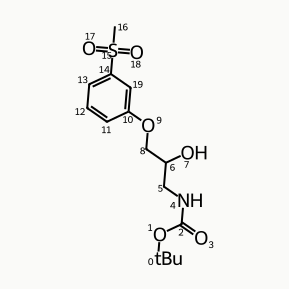 CC(C)(C)OC(=O)NCC(O)COc1cccc(S(C)(=O)=O)c1